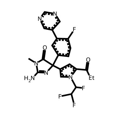 CCC(=O)c1cc(C2(c3ccc(F)c(-c4cncnc4)c3)N=C(N)N(C)C2=O)cn1C(F)C(F)F